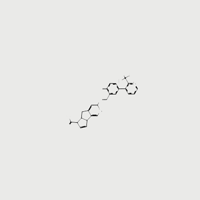 O=C(O)C1C=CC2C3=CNC(OCc4cc(-c5cccnc5C(F)(F)F)ccc4F)C=C3CC12